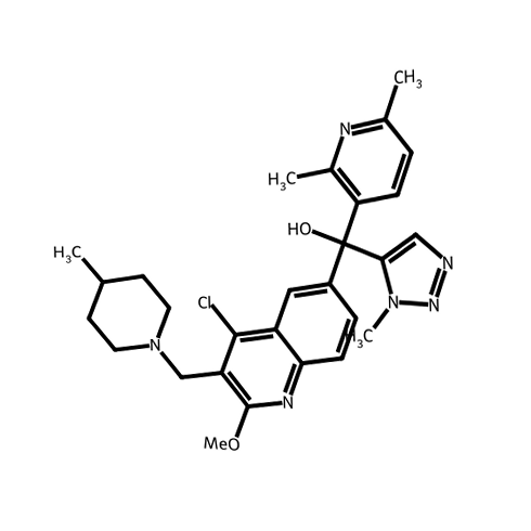 COc1nc2ccc(C(O)(c3ccc(C)nc3C)c3cnnn3C)cc2c(Cl)c1CN1CCC(C)CC1